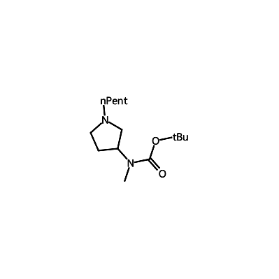 CCCCCN1CCC(N(C)C(=O)OC(C)(C)C)C1